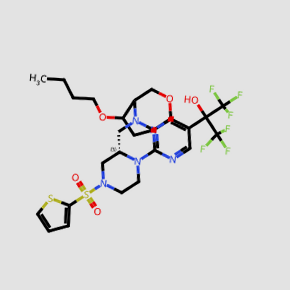 CCCCOC1CC2COCC1N2C[C@H]1CN(S(=O)(=O)c2cccs2)CCN1c1ncc(C(O)(C(F)(F)F)C(F)(F)F)cn1